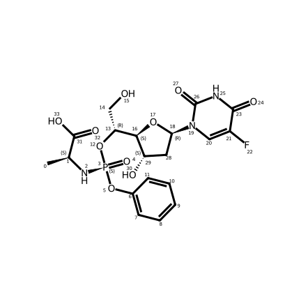 C[C@H](N[P@@](=O)(Oc1ccccc1)O[C@H](CO)[C@H]1O[C@@H](n2cc(F)c(=O)[nH]c2=O)C[C@@H]1O)C(=O)O